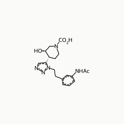 CC(=O)Nc1cccc(CCn2nncc2[C@H]2CCN(C(=O)O)C[C@@H]2O)c1